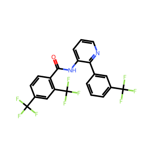 O=C(Nc1cccnc1-c1cccc(C(F)(F)F)c1)c1ccc(C(F)(F)F)cc1C(F)(F)F